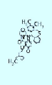 CCC(=O)CCOc1c2n(ccc1=O)N(C1c3ccccc3SCc3c1ccc(C)c3C)C1COCCN1C2=O